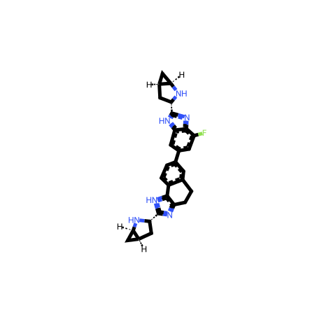 Fc1cc(-c2ccc3c(c2)CCc2nc([C@@H]4C[C@H]5C[C@H]5N4)[nH]c2-3)cc2[nH]c([C@@H]3C[C@H]4C[C@H]4N3)nc12